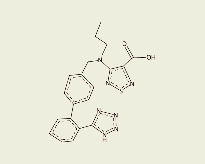 CCCN(Cc1ccc(-c2ccccc2-c2nnn[nH]2)cc1)c1nsnc1C(=O)O